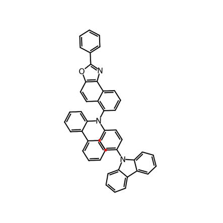 c1ccc(-c2nc3c(ccc4c(N(c5ccc(-n6c7ccccc7c7ccccc76)cc5)c5ccccc5-c5ccccc5)cccc43)o2)cc1